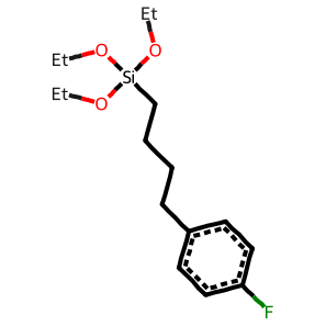 CCO[Si](CCCCc1ccc(F)cc1)(OCC)OCC